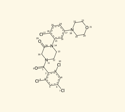 O=C(c1c(Cl)cc(Cl)cc1Cl)N1CCN(c2cc(N3CCOCC3)ccc2Cl)C(=O)C1